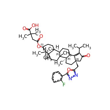 CC(C)C1=C2C3CC[C@@H]4C5(C)CC[C@H](OC(=O)CC(C)(C)C(=O)O)C(C)(C)[C@@H]5CCC4(C)[C@]3(C)CC[C@@]2(Cc2nnc(-c3ccccc3F)o2)CC1=O